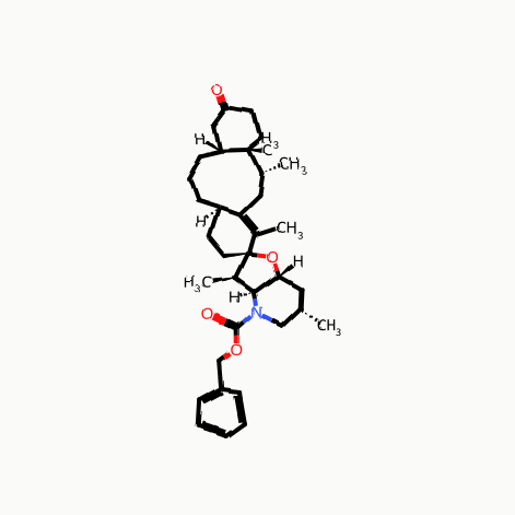 CC1=C2C[C@@H](C)[C@@]3(C)CCC(=O)C[C@H]3CCC[C@@H]2CC[C@]12O[C@@H]1C[C@H](C)CN(C(=O)OCc3ccccc3)[C@H]1[C@H]2C